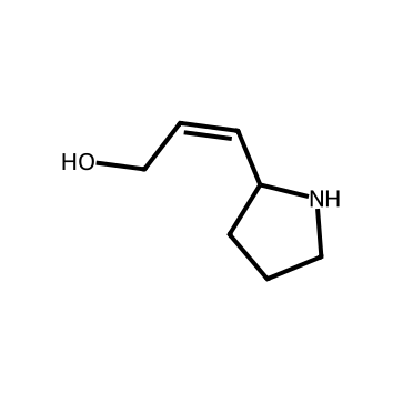 OC/C=C\C1CCCN1